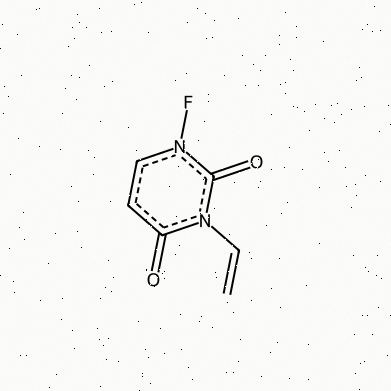 C=Cn1c(=O)ccn(F)c1=O